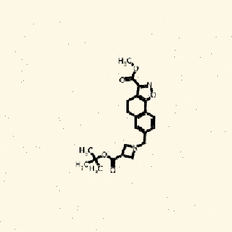 COC(=O)c1noc2c1CCc1cc(CN3CC(C(=O)OC(C)(C)C)C3)ccc1-2